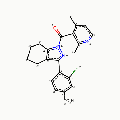 Cc1ccnc(C)c1C(=O)n1nc(-c2ccc(C(=O)O)cc2F)c2c1CCCC2